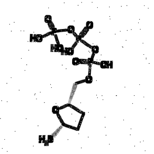 B[C@H]1CC[C@@H](COP(=O)(O)OP(=O)(O)OP(=O)(O)O)O1